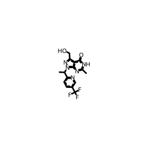 Cc1nc2c(c(CO)nn2C(C)c2ccc(C(F)(F)F)cn2)c(=O)[nH]1